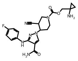 N#CC1CN(C(=O)OCC2(N)CC2)CCC1n1cc(C(N)=O)c(Nc2ccc(F)cc2)n1